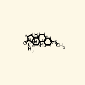 CSc1ccc2c(c1)CC[C@@H]1[C@@H]2CC[C@]2(C)C(=O)CC[C@@H]12